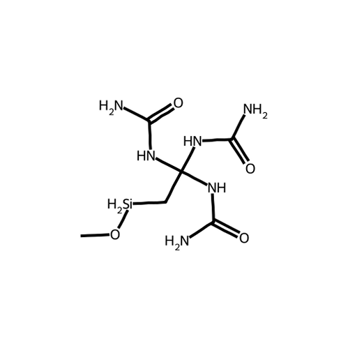 CO[SiH2]CC(NC(N)=O)(NC(N)=O)NC(N)=O